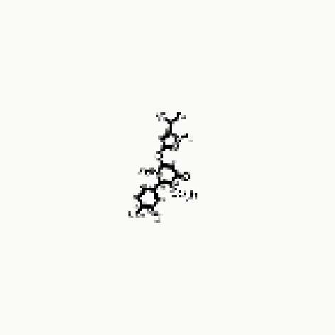 CCn1c(Oc2cc(C(F)F)n(C)n2)cc(=O)c(C(=O)O)c1-c1ccc(Cl)c(Cl)c1